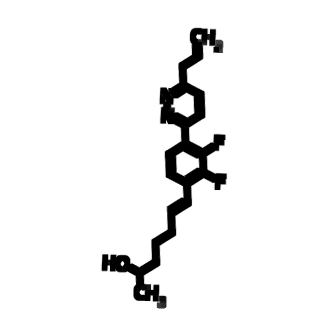 C=CCc1ccc(-c2ccc(C=CCCCC(C)O)c(F)c2F)nn1